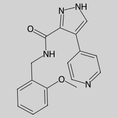 COc1ccccc1CNC(=O)c1n[nH]cc1-c1ccncc1